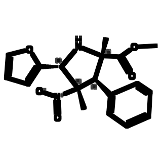 COC(=O)[C@@]1(C)N[C@@H](c2ccco2)[C@@](C)([N+](=O)[O-])[C@@H]1c1ccccc1